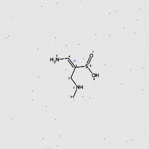 CNC/C(=C\N)S(=O)O